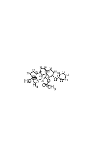 CC(=O)OC[C@]12CC(OC3CCCCO3)CCC1=CCC1C2CC[C@@]2(C)C1CC[C@@H]2O